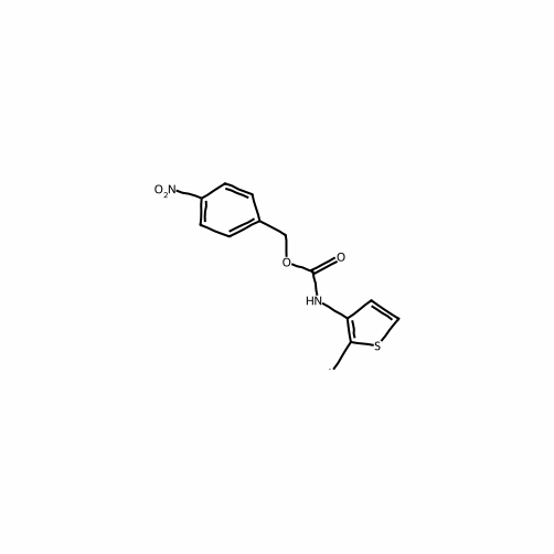 [CH2]c1sccc1NC(=O)OCc1ccc([N+](=O)[O-])cc1